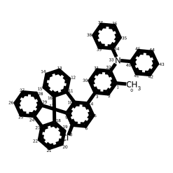 Cc1cc(-c2ccc(Cl)c3c2-c2ccccc2C32c3ccccc3-c3ccccc32)ccc1N(c1ccccc1)c1ccccc1